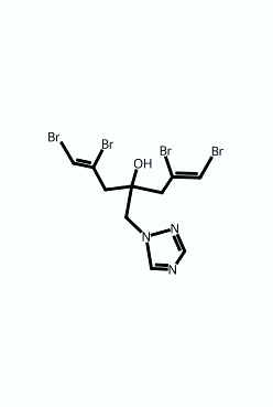 OC(CC(Br)=CBr)(CC(Br)=CBr)Cn1cncn1